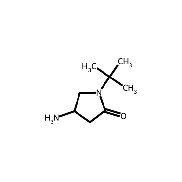 CC(C)(C)N1CC(N)CC1=O